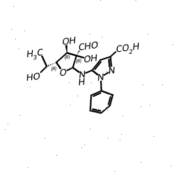 CC(O)[C@H]1OC(Nc2cc(C(=O)O)nn2-c2ccccc2)[C@@](O)(C=O)[C@@H]1O